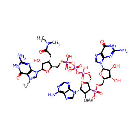 CO[C@@H]1[C@H](P(=O)([O-])OC[C@H]2O[C@@H](n3cnc4c(=O)[nH]c(N)nc43)[C@H](O)[C@@H]2O)[C@@H](COP(=O)(O)OP(=O)(O)OP(=O)(O)SC[C@H]2O[C@@H](n3c[n+](C)c4c(=O)[nH]c(N)nc43)[C@H](O)[C@@H]2CC(=O)N(C)C)O[C@H]1n1cnc2c(N)ncnc21